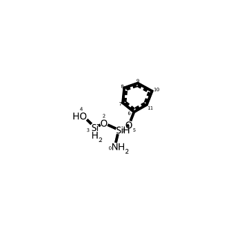 N[SiH](O[SiH2]O)Oc1ccccc1